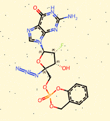 [N-]=[N+]=N[C@]1(COP2(=O)OCc3ccccc3O2)O[C@@H](n2cnc3c(=O)[nH]c(N)nc32)[C@H](F)[C@@H]1O